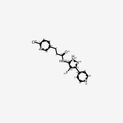 O=C(CCc1ccc(Cl)nc1)Nc1[nH]nc(-c2ccncc2)c1F